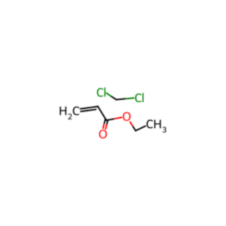 C=CC(=O)OCC.ClCCl